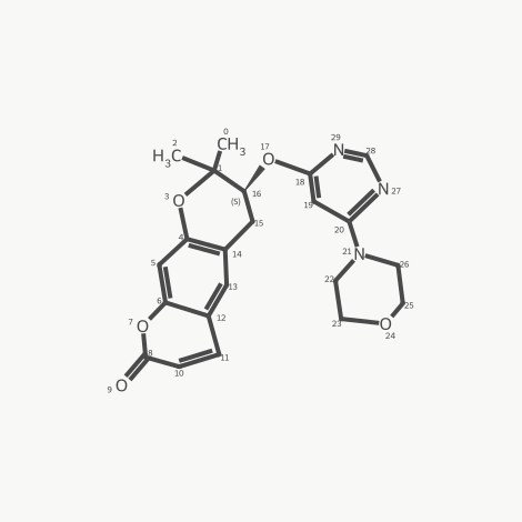 CC1(C)Oc2cc3oc(=O)ccc3cc2C[C@@H]1Oc1cc(N2CCOCC2)ncn1